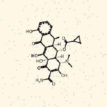 CC1c2cccc(O)c2C(=O)C2=C(O)[C@]3(O)C(=O)C(C(N)=O)=C(O)[C@@H](N(C)C)[C@@H]3[C@@H](OC(=O)C3CC3)[C@@H]21